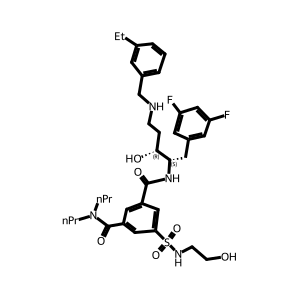 CCCN(CCC)C(=O)c1cc(C(=O)N[C@@H](Cc2cc(F)cc(F)c2)[C@H](O)CCNCc2cccc(CC)c2)cc(S(=O)(=O)NCCO)c1